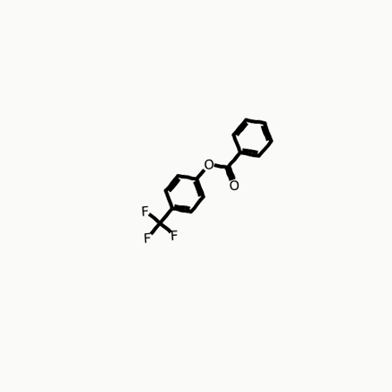 O=C(Oc1ccc(C(F)(F)F)cc1)c1ccccc1